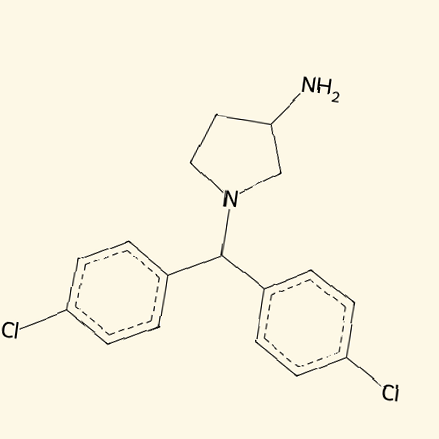 NC1CCN(C(c2ccc(Cl)cc2)c2ccc(Cl)cc2)C1